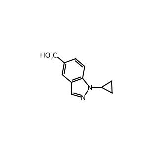 O=C(O)c1ccc2c(cnn2C2CC2)c1